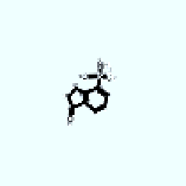 NS(=O)(=O)c1cccc2c1CCC2=O